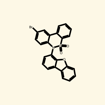 O=S1(=O)c2ccccc2-c2cc(Br)ccc2N1c1cccc2c1oc1ccccc12